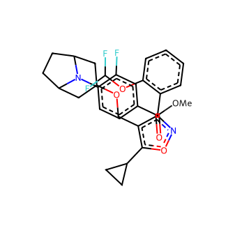 COC(=O)c1ccc(N2C3CCC2CC(OCc2c(-c4ccccc4OC(F)F)noc2C2CC2)C3)c(F)c1